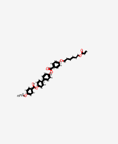 C=CC(=O)OCCCCCCOc1ccc(C(=O)Oc2ccc(-c3ccc(OC(=O)c4ccc(OCCC)cc4)cc3)cc2)cc1